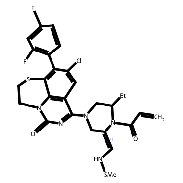 C=CC(=O)N1/C(=C/NSC)CN(c2nc(=O)n3c4c(c(-c5ccc(F)cc5F)c(Cl)cc24)SCC3)CC1CC